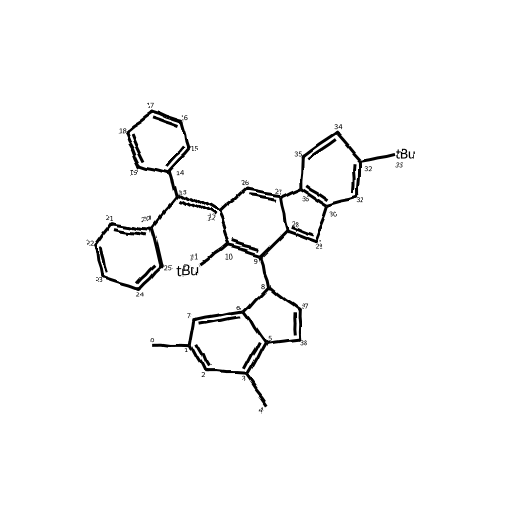 Cc1cc(C)c2c(c1)C(c1c(C(C)(C)C)c(=C(c3ccccc3)c3ccccc3)cc3c1=[C]c1cc(C(C)(C)C)ccc1-3)C=C2